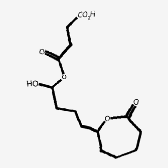 O=C(O)CCC(=O)OC(O)CCCC1CCCCC(=O)O1